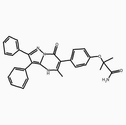 Cc1[nH]c2c(-c3ccccc3)c(-c3ccccc3)nn2c(=O)c1-c1ccc(OC(C)(C)C(N)=O)cc1